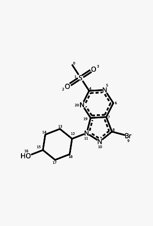 CS(=O)(=O)c1ncc2c(Br)nn(C3CCC(O)CC3)c2n1